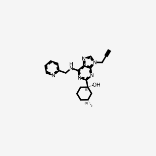 C#CCn1cnc2c(NCc3ccccn3)nc([C@]3(O)CCC[C@@H](C)C3)nc21